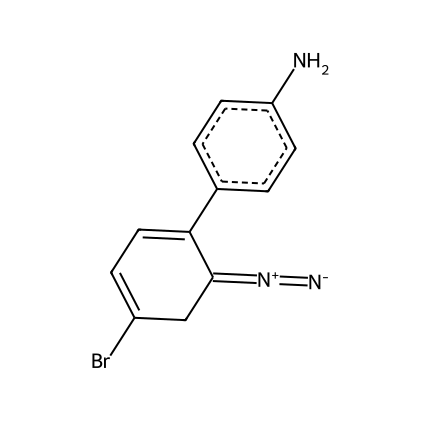 [N-]=[N+]=C1CC(Br)=CC=C1c1ccc(N)cc1